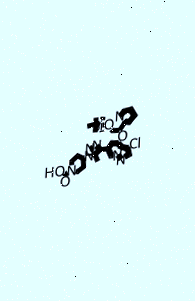 Cc1c(-c2cc(OC(CO[Si](C)(C)C(C)(C)C)c3ccccn3)c3c(Cl)cnn3c2)nnn1C1CCN(C(=O)O)CC1